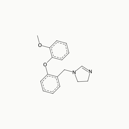 COc1ccccc1Oc1ccccc1CN1C=NCC1